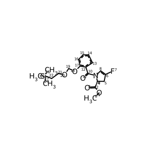 COC(=O)[C@@H]1CC(F)=CN1C(=O)c1ccccc1OCOCC[Si](C)(C)C